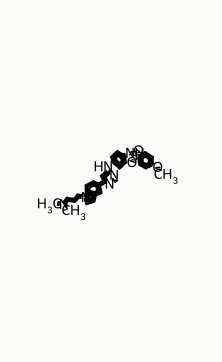 COc1ccc(S(=O)(=O)Nc2ccc(Nc3cc(-c4ccc5c(ccn5CCCN(C)C)c4)ncn3)cc2)cc1